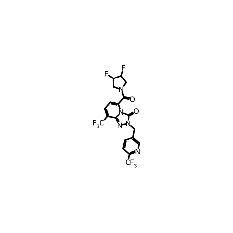 O=C(c1ccc(C(F)(F)F)c2nn(Cc3ccc(C(F)(F)F)nc3)c(=O)n12)N1CC(F)C(F)C1